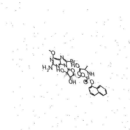 COc1nc(N)nc2c1nc(Br)n2[C@@H]1O[C@H](COP(=O)(NC(C)C(=O)O)Oc2cccc3ccccc23)[C@@H](O)[C@@]1(C)O